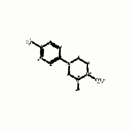 C[C@H]1CN(c2ccc([N+](=O)[O-])nc2)CCN1C(=O)O